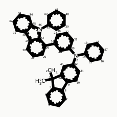 CC1(C)c2ccccc2-c2ccc(N(c3ccccc3)c3cccc(-c4cccc5c6ccccc6n(-c6ccccc6)c45)c3)cc21